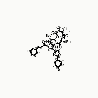 C[C@@H](C(=O)N[C@H](C(=O)N1CC[C@@H]2[C@H]1[C@@H](c1csc(-c3ccc(F)cc3)n1)CN2C(=O)OCc1ccccc1)C(C)(C)C)N(C)C(=O)OC(C)(C)C